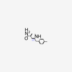 C=C(/C=C(/Cc1ccc(C)cc1)NC)C(N)=O